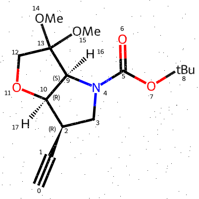 C#C[C@@H]1CN(C(=O)OC(C)(C)C)[C@H]2[C@@H]1OCC2(OC)OC